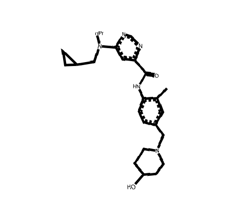 CCCN(CC1CC1)c1cc(C(=O)Nc2ccc(CN3CCC(O)CC3)cc2C)ncn1